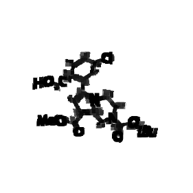 COC(=O)c1cc(-c2cc(Cl)ccc2C(=O)O)n2c1CN(C(=O)OC(C)(C)C)CC2